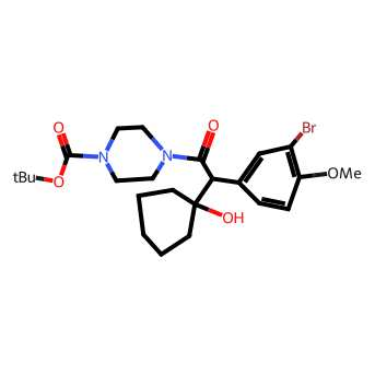 COc1ccc(C(C(=O)N2CCN(C(=O)OC(C)(C)C)CC2)C2(O)CCCCC2)cc1Br